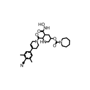 Cc1cc(C2=CCN(C(=O)C3NCC(OC(=O)N4CCCCCC4)CC3C(=O)NO)CC2)cc(C)c1C#N